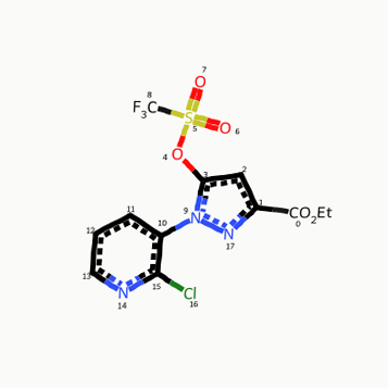 CCOC(=O)c1cc(OS(=O)(=O)C(F)(F)F)n(-c2cccnc2Cl)n1